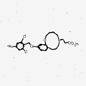 CCCCc1cc(Cl)c(COc2ccc3c(c2)OCCCCN(CCC(=O)O)CCC3)c(Cl)c1